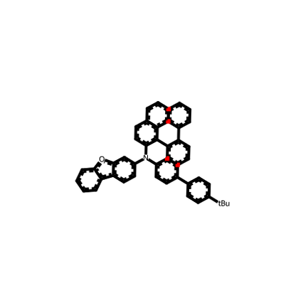 CC(C)(C)c1ccc(-c2ccc(N(c3ccc4c(c3)oc3ccccc34)c3ccc4ccccc4c3-c3ccccc3-c3ccccc3)cc2)cc1